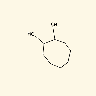 CC1CCCCCCC1O